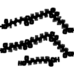 O=C(O)CCCCCCC(=O)OC(=O)CCCCCCCC(=O)OC(=O)CCCCCCC(=O)O.O=C(O)CCCCCCC(=O)OC(=O)CCCCCCCC(=O)OC(=O)CCCCCCC(=O)O.O=C(O)CCCCCCCCC(=O)O